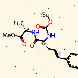 COC(=O)[C@H](C)NC(=O)[C@@H](C/C=C/c1ccccc1)NC(=O)OC(C)(C)C